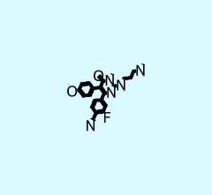 COc1ccc(-c2c(-c3ccc(C#N)c(F)c3)nc(N(C)CCCN(C)C)n(C)c2=O)cc1